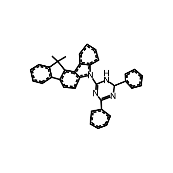 CC1(C)c2ccccc2-c2ccc3c(c21)c1ccccc1n3C1=NC(c2ccccc2)=NC(c2ccccc2)N1